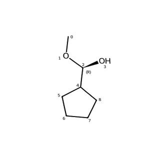 CO[C@@H](O)C1CCCC1